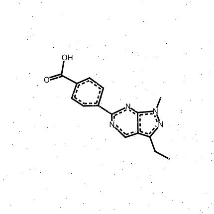 CCc1nn(C)c2nc(-c3ccc(C(=O)O)cc3)ncc12